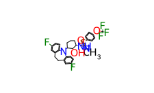 CN=S(=O)(NC1CCCC(N2c3ccc(F)cc3CCc3cc(F)ccc32)C1O)c1ccc(OC(F)(F)F)cc1